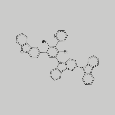 CCc1c(-n2c3ccccc3c3cc(-n4c5ccccc5c5ccccc54)ccc32)cc(-c2ccc3oc4ccccc4c3c2)c(C(C)C)c1-c1ccccn1